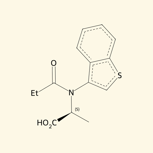 CCC(=O)N(c1csc2ccccc12)[C@@H](C)C(=O)O